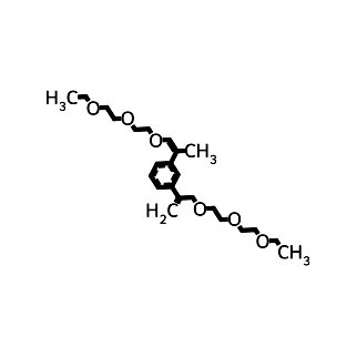 C=C(COCCOCCOCC)c1cccc(/C(C)=C\OCCOCCOCC)c1